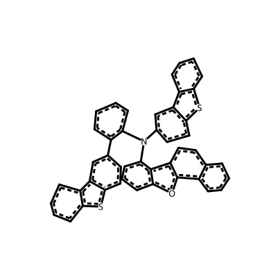 c1ccc(N(c2ccc3sc4ccccc4c3c2)c2cccc3oc4c5ccccc5ccc4c23)c(-c2ccc3sc4ccccc4c3c2)c1